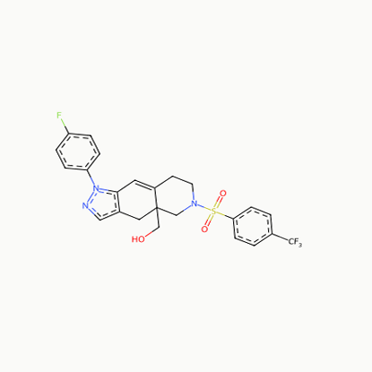 O=S(=O)(c1ccc(C(F)(F)F)cc1)N1CCC2=Cc3c(cnn3-c3ccc(F)cc3)CC2(CO)C1